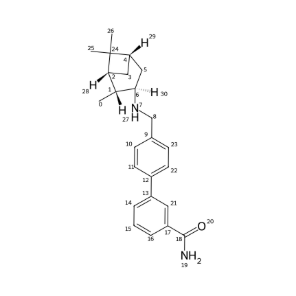 C[C@@H]1[C@H]2C[C@@H](C[C@H]1NCc1ccc(-c3cccc(C(N)=O)c3)cc1)C2(C)C